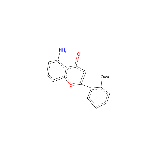 COc1ccccc1-c1cc(=O)c2c(N)cccc2o1